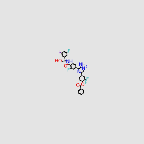 Nc1ncc(C2CCC(OC(=O)c3ccccc3)C(F)(F)C2)nc1-c1ccc(C(=O)N[C@H](CO)c2cc(F)cc(I)c2)c(F)c1